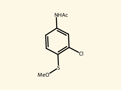 COSc1ccc(NC(C)=O)cc1Cl